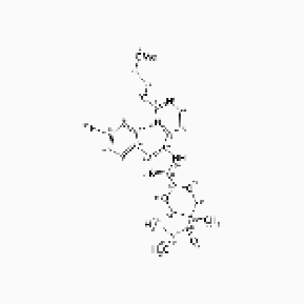 COCCOc1nccc(-c2[nH]c(C3OCC(C)(C(=O)N(C)C)CO3)nc2-c2ccc(F)cc2)n1